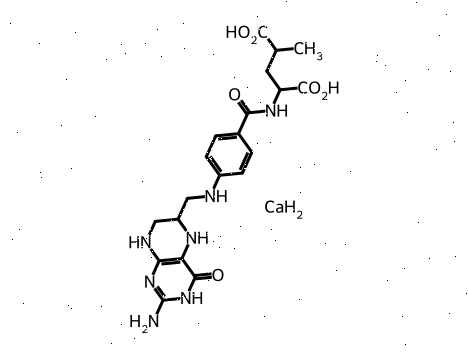 CC(CC(NC(=O)c1ccc(NCC2CNc3nc(N)[nH]c(=O)c3N2)cc1)C(=O)O)C(=O)O.[CaH2]